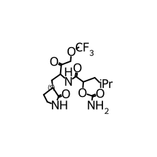 CC(C)CC(OC(N)=O)C(=O)NC(C[C@@H]1CCNC1=O)C(=O)COC(F)(F)F